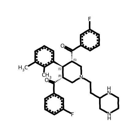 Cc1cccc([C@@H]2[C@@H](C(=O)c3cccc(F)c3)CN(CCC3CNCCN3)C[C@H]2C(=O)c2cccc(F)c2)c1C